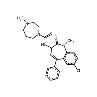 CN1CCCN(C(=S)NC2N=C(c3ccccc3)c3cc(Cl)ccc3N(C)C2=O)CC1